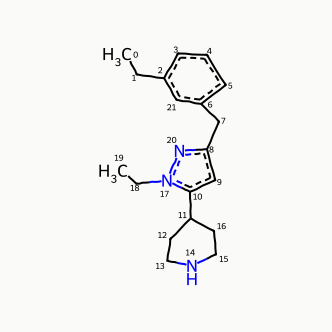 CCc1cccc(Cc2cc(C3CCNCC3)n(CC)n2)c1